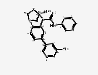 O=C(Nc1ccccc1)N1c2nc(-c3cncc(Cl)c3)ccc2N2CC[C@H]1C2